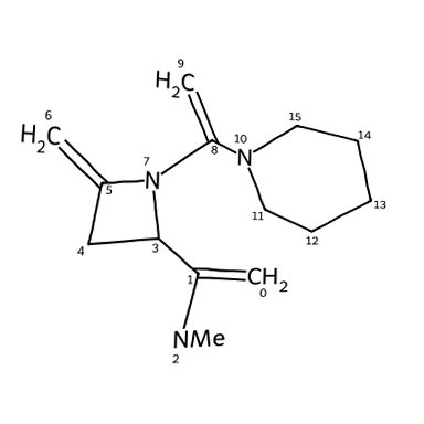 C=C(NC)C1CC(=C)N1C(=C)N1CCCCC1